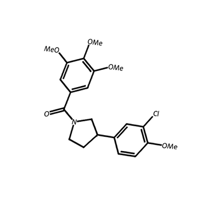 COc1ccc([C]2CCN(C(=O)c3cc(OC)c(OC)c(OC)c3)C2)cc1Cl